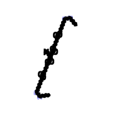 CCCCC/C=C\C/C=C\CCCCCCCCOC(=O)CCCCCCCOC(=O)CCN(CCC(=O)OCCCCCCCC(=O)OCCCCCCCC/C=C\C/C=C\CCCCC)CCN(C)C